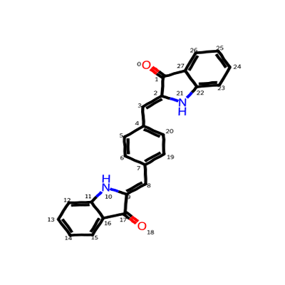 O=C1/C(=C/c2ccc(/C=C3\Nc4ccccc4C3=O)cc2)Nc2ccccc21